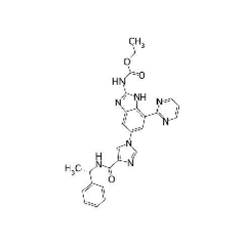 CCOC(=O)Nc1nc2cc(-n3cnc(C(=O)N[C@@H](C)c4ccccc4)c3)cc(-c3ncccn3)c2[nH]1